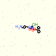 CC1(C(=O)NCCc2ccc(CN)cc2)CCCN1C(=O)OCC1c2ccccc2-c2ccccc21.Cl